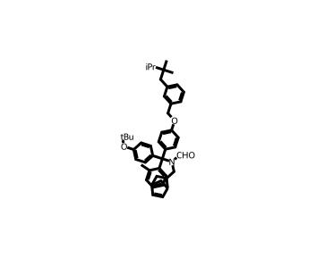 Cc1ccccc1C(c1ccc(OCc2cccc(CC(C)(C)C(C)C)c2)cc1)(c1ccc(OC(C)(C)C)cc1)N(C=O)CC1CC2C=CC1C2